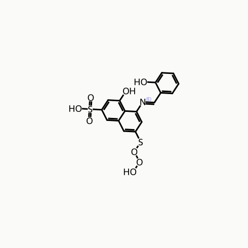 O=S(=O)(O)c1cc(O)c2c(/N=C/c3ccccc3O)cc(SOOO)cc2c1